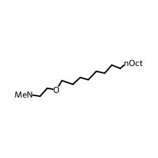 CCCCCCCCCCCCCCCCOCCNC